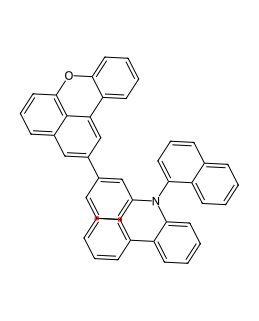 c1ccc(-c2ccccc2N(c2cccc(-c3cc4c5c(cccc5c3)Oc3ccccc3-4)c2)c2cccc3ccccc23)cc1